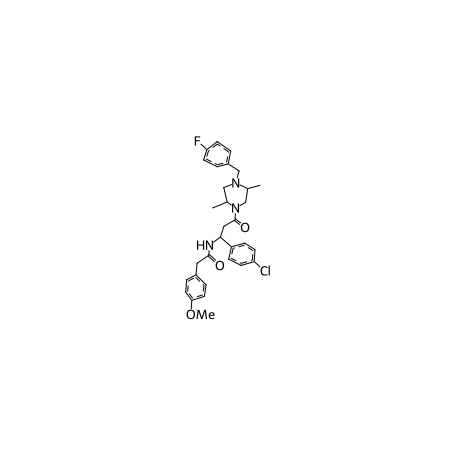 COc1ccc(CC(=O)NC(CC(=O)N2CC(C)N(Cc3ccc(F)cc3)CC2C)c2ccc(Cl)cc2)cc1